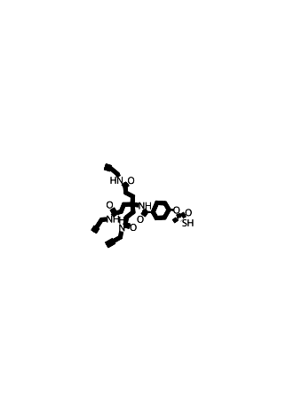 C#CCNC(=O)CCC(CCC(=O)NCC#C)(CCC(=O)NCC#C)NC(=O)[C@H]1CC[C@@H](OP(C)(=O)S)CC1